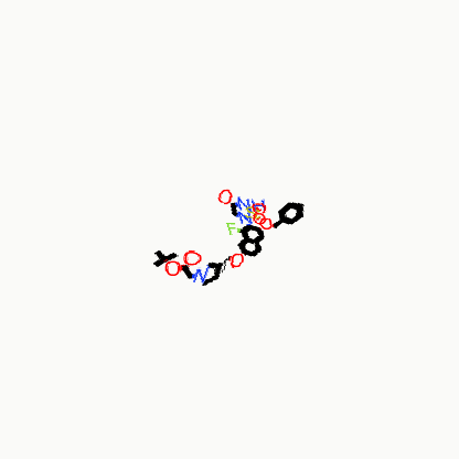 CC(C)(C)OC(=O)CN1CC[C@@H](COc2ccc3cc(OCc4ccccc4)c(N4CC(=O)NS4(=O)=O)c(F)c3c2)C1